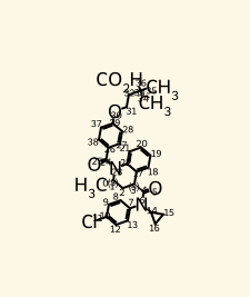 C[C@H]1C[C@H](C(=O)N(c2ccc(Cl)cc2)C2CC2)c2ccccc2N1C(=O)c1ccc(OCCC(C)(C)C(=O)O)cc1